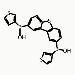 OB(c1ccsc1)c1ccc2sc3ccc(B(O)c4ccsc4)cc3c2c1